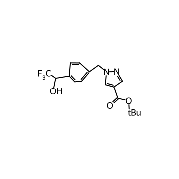 CC(C)(C)OC(=O)c1cnn(Cc2ccc(C(O)C(F)(F)F)cc2)c1